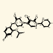 CC(C)Oc1cc(F)ccc1CN1CCN(c2cnn(C3CCCCO3)c(=O)c2Cl)CC1=O